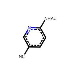 CC(=O)Nc1ccc(C#N)cn1